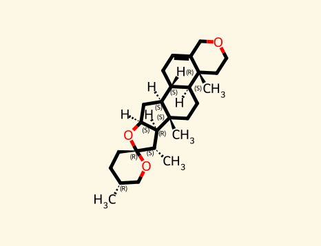 C[C@@H]1CC[C@@]2(OC1)O[C@H]1C[C@H]3[C@@H]4CC=C5COCC[C@]5(C)[C@H]4CC[C@]3(C)[C@H]1[C@@H]2C